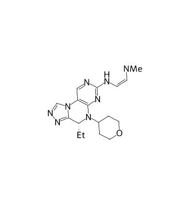 CC[C@@H]1c2nncn2-c2cnc(N/C=C\NC)nc2N1C1CCOCC1